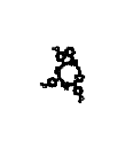 COc1ccc(-c2c3nc(cc4cc(-c5ccccc5)c([nH]4)c(-c4ccc(OC)cc4)c4nc(c(-c5ccc(OC)cc5)c5ccc2[nH]5)C=C4)C=C3)cc1